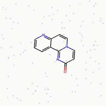 O=c1ccn2ccc3ncccc3c2n1